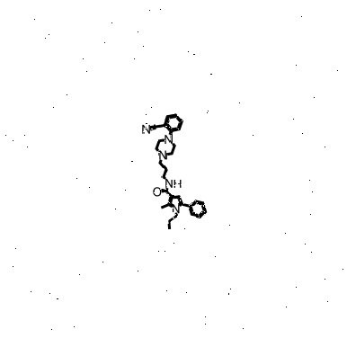 CCCn1c(-c2ccccc2)cc(C(=O)NCCCN2CCN(c3ccccc3C#N)CC2)c1C